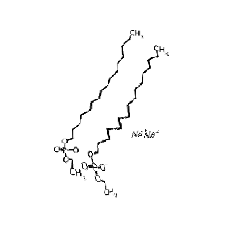 CCCCCCCCCCCCCCCCOP(=O)([O-])OCC.CCCCCCCCCCCCCCCCOP(=O)([O-])OCC.[Na+].[Na+]